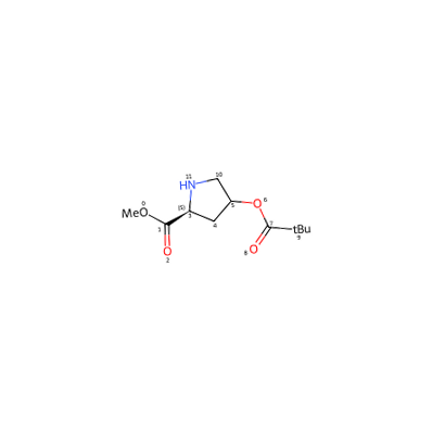 COC(=O)[C@@H]1CC(OC(=O)C(C)(C)C)CN1